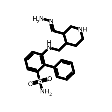 NN=CC1CNCCC1CNc1cccc(S(N)(=O)=O)c1-c1ccccc1